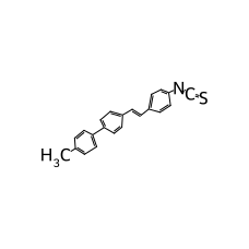 Cc1ccc(-c2ccc(C=Cc3ccc(N=C=S)cc3)cc2)cc1